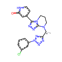 C[C@H](c1nnn(-c2cccc(Cl)c2)n1)N1CCCn2c(-c3cc[nH]c(=O)c3)nnc21